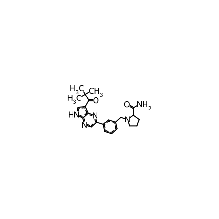 CC(C)(C)C(=O)c1c[nH]c2ncc(-c3cccc(CN4CCCC4C(N)=O)c3)nc12